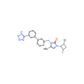 CCCCc1cn(C2C(C)CC2CC)c(=O)n1Cc1cc(-c2cccc(-c3nnn[nH]3)c2)ccn1